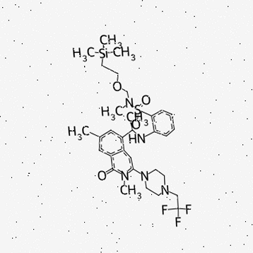 Cc1cc([C@@H](C)Nc2ccccc2S(=O)(=O)N(C)COCC[Si](C)(C)C)c2cc(N3CCN(CC(F)(F)F)CC3)n(C)c(=O)c2c1